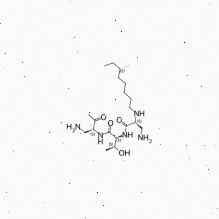 CC[C@H](C)CCCCCN[C@@H](CN)C(=O)N[C@H](C(=O)N[C@@H](CN)C(C)=O)[C@H](C)O